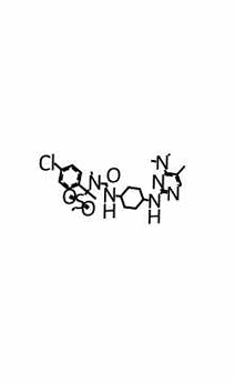 Cc1cnc(NC2CCC(NC(=O)N(C)C(C)(c3ccc(Cl)cc3)S(C)(=O)=O)CC2)nc1N(C)C